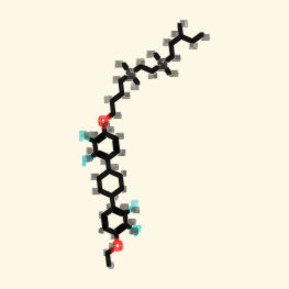 CCOc1ccc(C2CCC(c3ccc(OCCCC[Si](C)(C)CC[Si](C)(C)CCC(C)CC)c(F)c3F)CC2)c(F)c1F